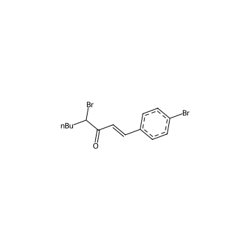 CCCCC(Br)C(=O)C=Cc1ccc(Br)cc1